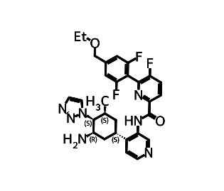 CCOCc1cc(F)c(-c2nc(C(=O)Nc3cnccc3[C@@H]3C[C@@H](N)[C@@H](n4ccnn4)[C@@H](C)C3)ccc2F)c(F)c1